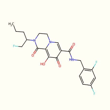 CCCC(CF)N1CCn2cc(C(=O)NCc3ccc(F)cc3F)c(=O)c(O)c2C1=O